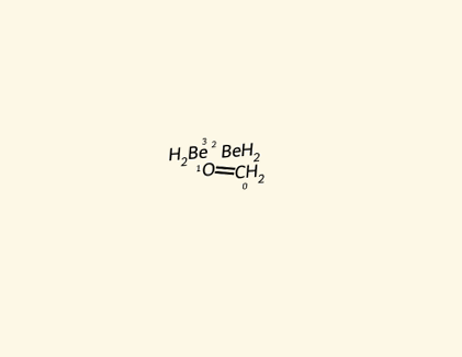 C=O.[BeH2].[BeH2]